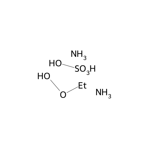 CCOO.N.N.O=S(=O)(O)O